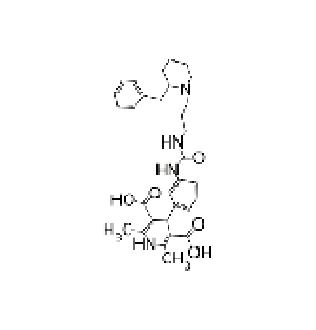 CC1=C(C(=O)O)C(c2cccc(NC(=O)NCCCN3CCCCC3Cc3ccccc3)c2)C(C(=O)O)=C(C)N1